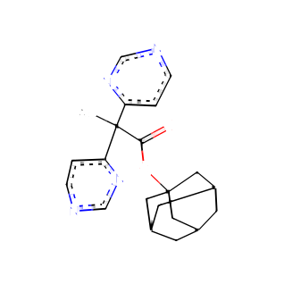 CC(=O)C(C(=O)OC12CC3CC(CC(C3)C1)C2)(c1ccncn1)c1ccncn1